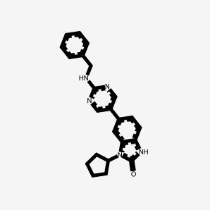 O=c1[nH]c2ccc(-c3cnc(NCc4ccccc4)nc3)cc2n1C1CCCC1